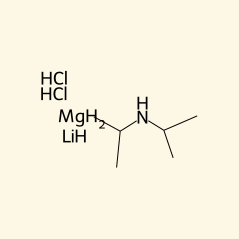 CC(C)NC(C)C.Cl.Cl.[LiH].[MgH2]